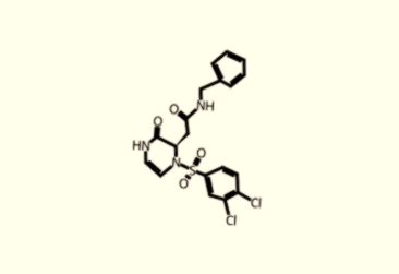 O=C(C[C@@H]1C(=O)NC=CN1S(=O)(=O)c1ccc(Cl)c(Cl)c1)NCc1ccccc1